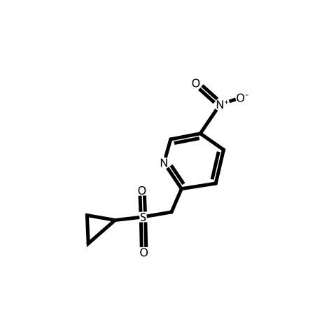 O=[N+]([O-])c1ccc(CS(=O)(=O)C2CC2)nc1